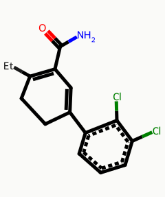 CCC1=C(C(N)=O)C=C(c2cccc(Cl)c2Cl)CC1